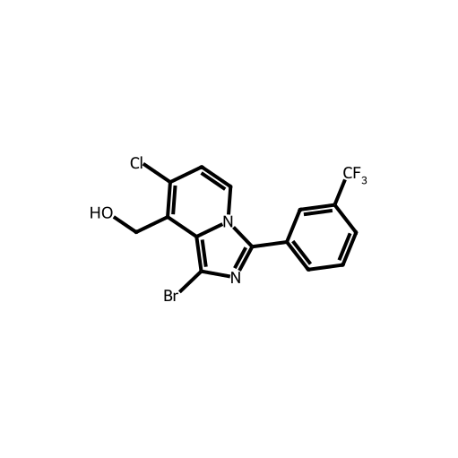 OCc1c(Cl)ccn2c(-c3cccc(C(F)(F)F)c3)nc(Br)c12